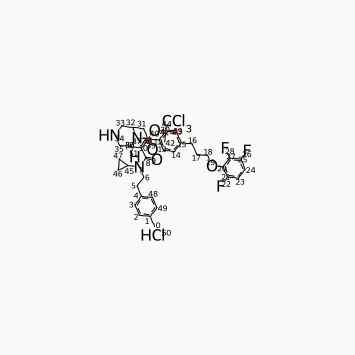 Cc1ccc(CCN(C(=O)C2=C(c3ccc(CCCOc4c(F)ccc(F)c4F)cc3)CC3CNC[C@H]2N3C(=O)OC(C)(C)C(Cl)(Cl)Cl)C2CC2)cc1.Cl